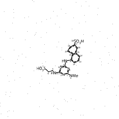 CNc1nc(NCCS(=O)(=O)O)nc(Nc2cccc3cc(S(=O)(=O)O)ccc23)n1